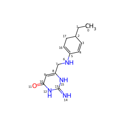 CCC1C=CC(NCc2cc(=O)[nH]c(=N)[nH]2)=CC1